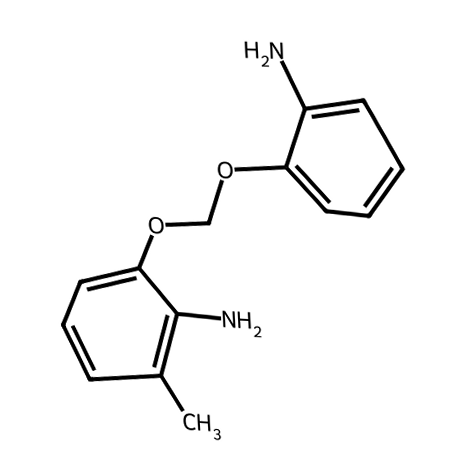 Cc1cccc(OCOc2ccccc2N)c1N